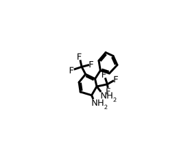 NC1C=CC(C(F)(F)F)=C(c2ccccc2)C1(N)C(F)(F)F